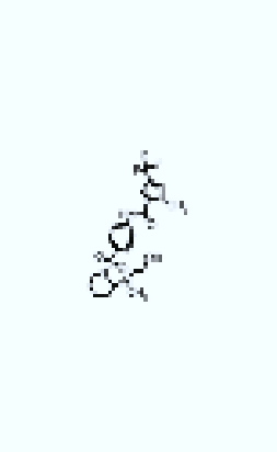 CN(CCO)C1CCCCN1S(=O)(=O)c1ccc(NC(=O)c2cc(C(F)(F)F)nn2C)cc1